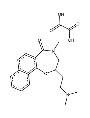 CN(C)CCC1CN(C)C(=O)c2ccc3ccccc3c2O1.O=C(O)C(=O)O